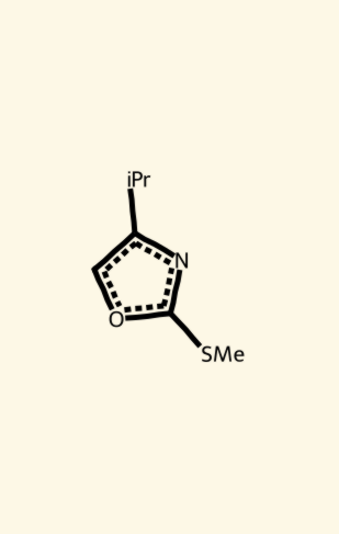 CSc1nc(C(C)C)co1